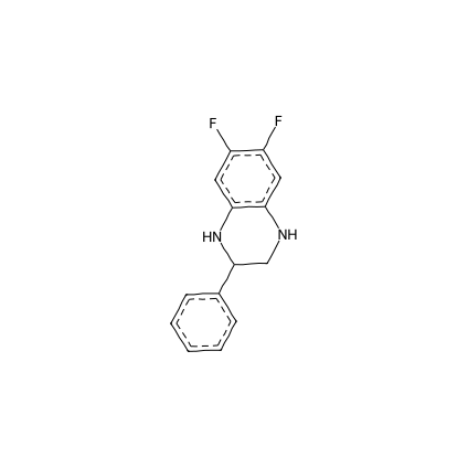 Fc1cc2c(cc1F)NC(c1ccccc1)CN2